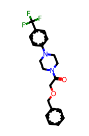 O=C(COCc1ccccc1)N1CCN(c2ccc(C(F)(F)F)cc2)CC1